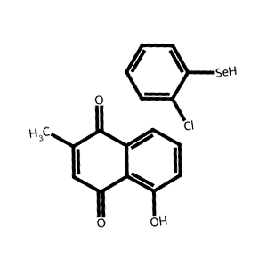 CC1=CC(=O)c2c(O)cccc2C1=O.Clc1ccccc1[SeH]